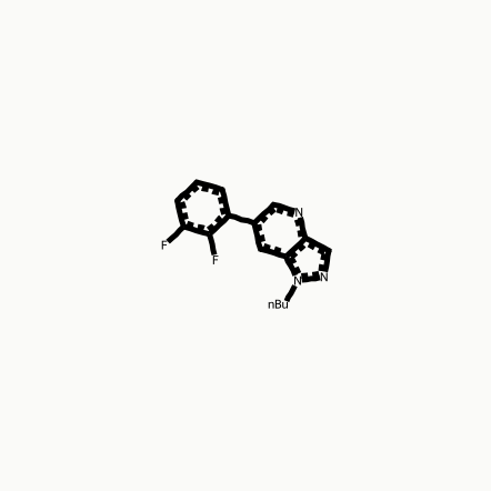 CCCCn1ncc2ncc(-c3cccc(F)c3F)cc21